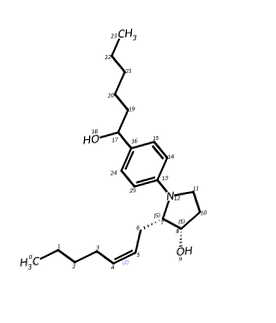 CCCC/C=C\C[C@H]1[C@@H](O)CCN1c1ccc(C(O)CCCCC)cc1